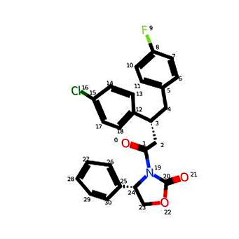 O=C(C[C@@H](Cc1ccc(F)cc1)c1ccc(Cl)cc1)N1C(=O)OC[C@@H]1c1ccccc1